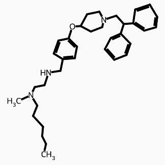 CCCCCCN(C)CCNCc1ccc(OC2CCN(CC(c3ccccc3)c3ccccc3)CC2)cc1